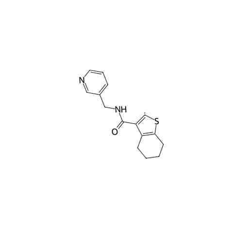 O=C(NCc1cccnc1)c1[c]sc2c1CCCC2